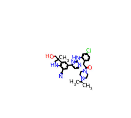 CC(C)N1CCN(C(=O)Cc2ccc(Cl)cc2Nc2nccc(-c3cc(C#N)c4c(c3)C(C)(CO)CN4)n2)CC1